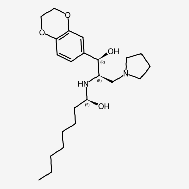 CCCCCCC[C@H](O)N[C@H](CN1CCCC1)[C@H](O)c1ccc2c(c1)OCCO2